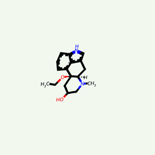 CCO[C@]12CC(O)CN(C)[C@@H]1Cc1c[nH]c3cccc2c13